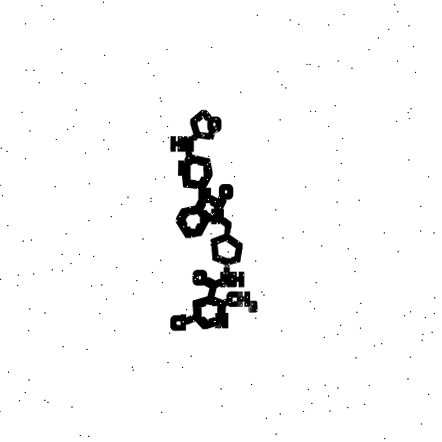 Cc1ncc(Cl)cc1C(=O)N[C@H]1CC[C@H](Cn2c(=O)n(-c3ccc(N[C@@H]4CCOC4)nc3)c3ccccc32)CC1